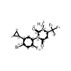 Cn1c(C(F)(F)F)cc(=O)n(-c2cc(C3CC3)c(Br)cc2F)c1=O